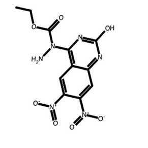 CCOC(=O)N(N)c1nc(O)nc2cc([N+](=O)[O-])c([N+](=O)[O-])cc12